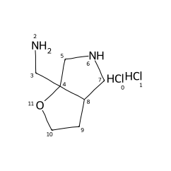 Cl.Cl.NCC12CNCC1CCO2